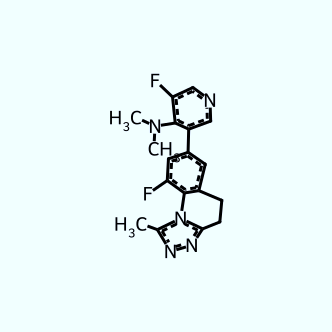 Cc1nnc2n1-c1c(F)cc(-c3cncc(F)c3N(C)C)cc1CC2